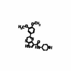 COc1ccc(-c2cnc3[nH]cc(C(=O)NC4CCNCC4)c3n2)cc1OC